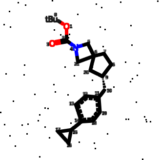 CC(C)(C)OC(=O)N1CC2(CC[C@H](Cc3ccc(C4CC4)cc3)C2)C1